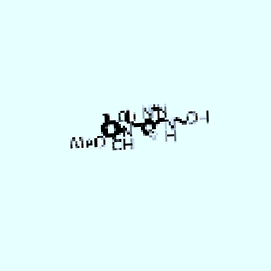 COc1cc(C)c(Cl)c(NC(=O)c2csc3c(NCCO)ncnc23)c1Cl